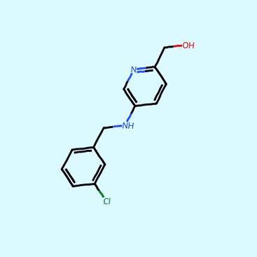 OCc1ccc(NCc2cccc(Cl)c2)cn1